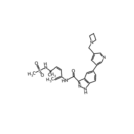 C=C(/C=C\C(=C/C)NC(=O)c1n[nH]c2ccc(-c3cncc(CN4CCC4)c3)cc12)NS(C)(=O)=O